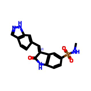 CNS(=O)(=O)c1ccc2c(c1)/C(=C/c1ccc3cn[nH]c3c1)C(=O)N2